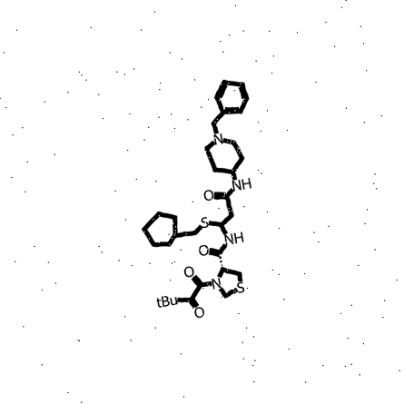 CC(C)(C)C(=O)C(=O)N1CSC[C@H]1C(=O)NC(CC(=O)NC1CCN(Cc2ccccc2)CC1)SCC1CCCCC1